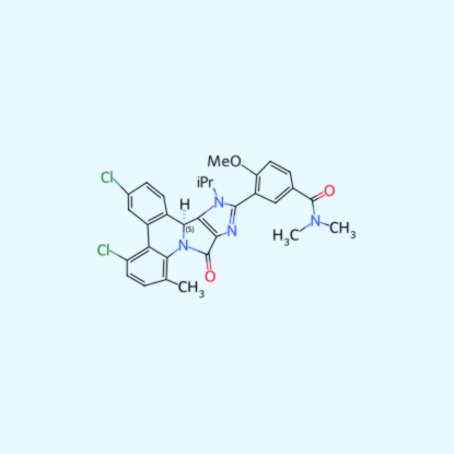 COc1ccc(C(=O)N(C)C)cc1-c1nc2c(n1C(C)C)[C@@H]1c3ccc(Cl)cc3-c3c(Cl)ccc(C)c3N1C2=O